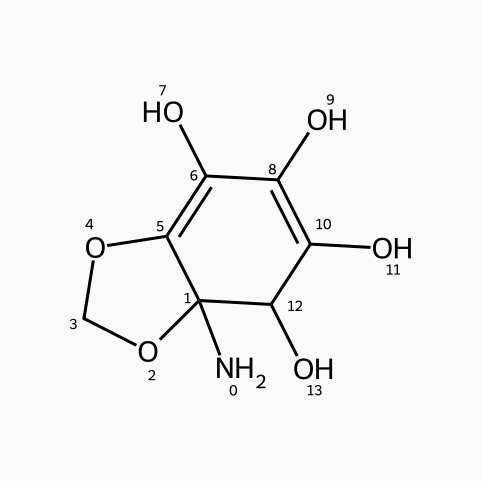 NC12OCOC1=C(O)C(O)=C(O)C2O